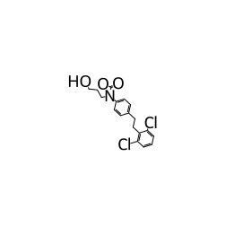 O=C1OC(CO)CN1c1ccc(CCc2c(Cl)cccc2Cl)cc1